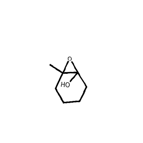 CC12CCCCC1(O)O2